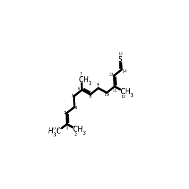 CC(C)=CCCC(C)=CCCC(C)=CC=S